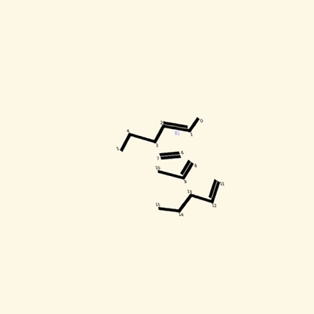 C/C=C/CCC.C=C.C=CC.C=CCCC